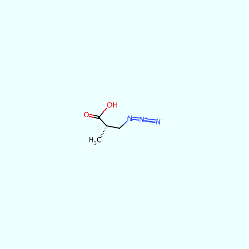 C[C@@H](CN=[N+]=[N-])C(=O)O